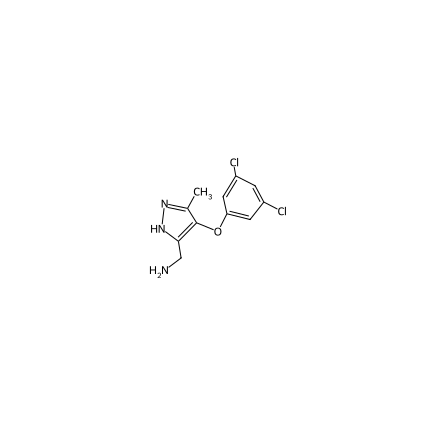 Cc1n[nH]c(CN)c1Oc1cc(Cl)cc(Cl)c1